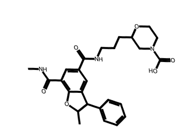 CNC(=O)c1cc(C(=O)NCCCC2CN(C(=O)O)CCO2)cc2c1OC(C)C2c1ccccc1